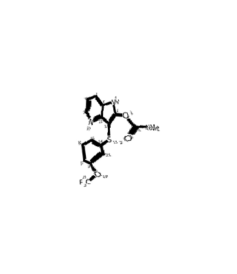 CNC(=O)Oc1[nH]c2cccnc2c1Sc1cccc(OC(F)(F)F)c1